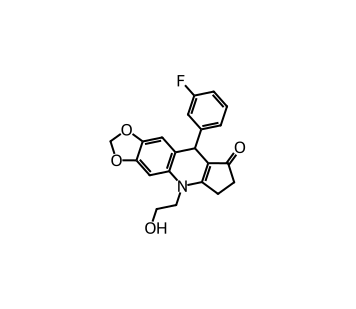 O=C1CCC2=C1C(c1cccc(F)c1)c1cc3c(cc1N2CCO)OCO3